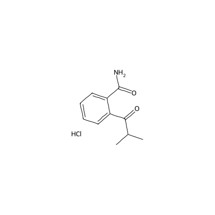 CC(C)C(=O)c1ccccc1C(N)=O.Cl